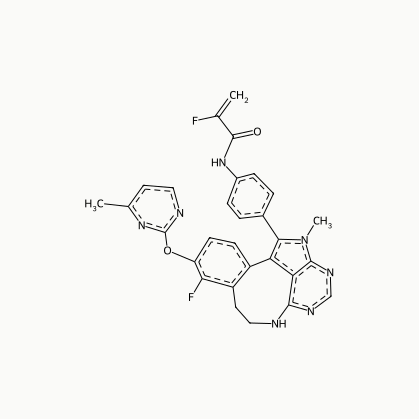 C=C(F)C(=O)Nc1ccc(-c2c3c4c(ncnc4n2C)NCCc2c-3ccc(Oc3nccc(C)n3)c2F)cc1